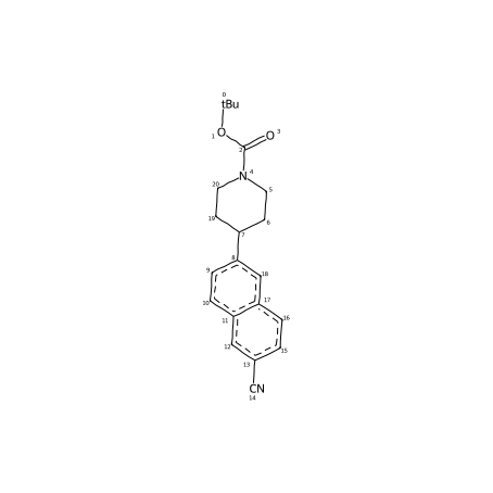 CC(C)(C)OC(=O)N1CCC(c2ccc3cc(C#N)ccc3c2)CC1